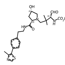 Cc1ncsc1-c1ccc(CCNC(=O)[C@H]2C[C@H](O)CN2CC(C)(C)[C@@H](C=O)NC(=O)O)cc1